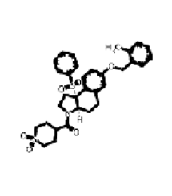 Cc1ccccc1COc1ccc2c(c1)CC[C@H]1N(C(=O)C3CCS(=O)(=O)CC3)CC[C@@]21S(=O)(=O)c1ccccc1